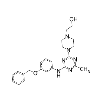 Cc1nc(Nc2cccc(OCc3ccccc3)c2)nc(N2CCN(CCO)CC2)n1